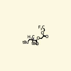 CC(C)(C)CC(C)(C(=O)OCC(=O)OCC(F)(F)F)C(C)(C)C